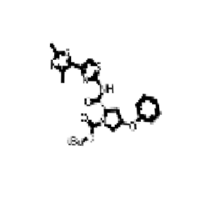 Cc1nc(C)c(-c2csc(NC(=O)[C@@H]3C[C@@H](Oc4ccccc4)CN3C(=O)OC(C)(C)C)n2)s1